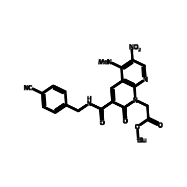 CNc1c([N+](=O)[O-])cnc2c1cc(C(=O)NCc1ccc(C#N)cc1)c(=O)n2CC(=O)OC(C)(C)C